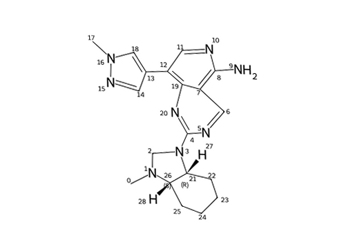 CN1CN(c2ncc3c(N)ncc(-c4cnn(C)c4)c3n2)[C@@H]2CCCC[C@@H]21